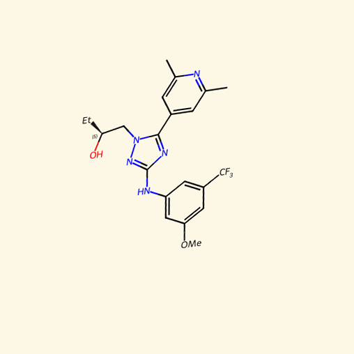 CC[C@H](O)Cn1nc(Nc2cc(OC)cc(C(F)(F)F)c2)nc1-c1cc(C)nc(C)c1